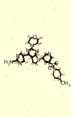 CN1CCN(S(=O)(=O)c2cncc(N3CCc4c(-c5cnc(N)nc5)nc(N5CCOCC5)nc43)c2)CC1